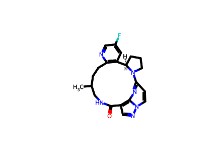 CC1CCc2ncc(F)cc2[C@H]2CCCN2c2ccn3ncc(c3n2)C(=O)NC1